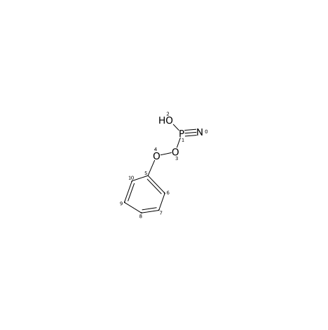 N#P(O)OOc1ccccc1